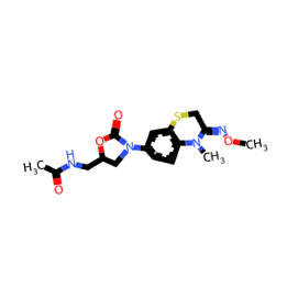 CON=C1CSc2cc(N3CC(CNC(C)=O)OC3=O)ccc2N1C